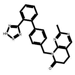 Cc1ncc2c(n1)N(Cc1ccc(-c3ccccc3-c3nn[nH]n3)cc1)C(=O)CC2